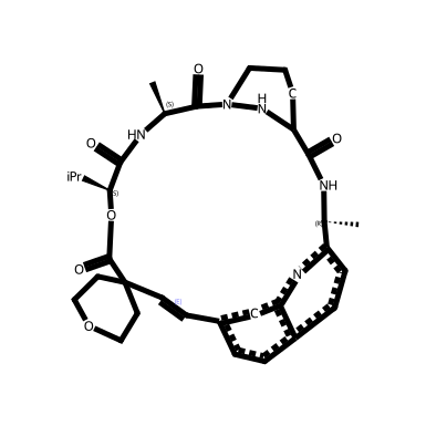 CC(C)[C@@H]1OC(=O)C2(/C=C/c3ccc4ccc(nc4c3)[C@@H](C)NC(=O)C3CCCN(N3)C(=O)[C@H](C)NC1=O)CCOCC2